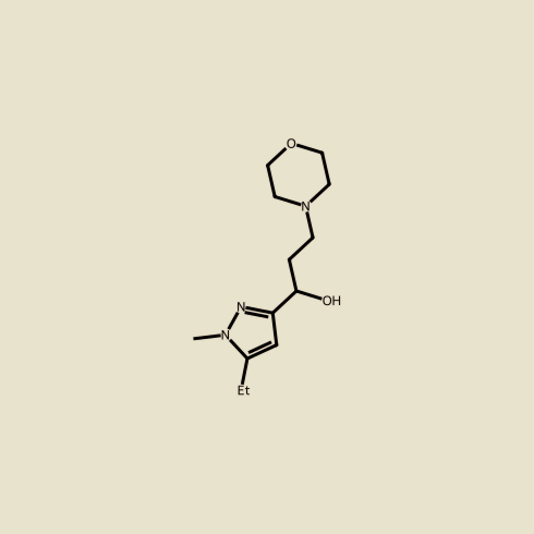 CCc1cc(C(O)CCN2CCOCC2)nn1C